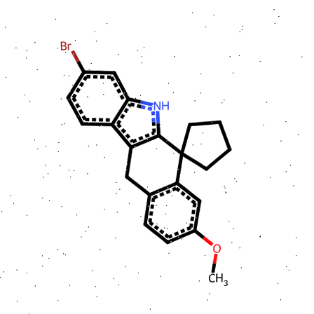 COc1ccc2c(c1)C1(CCCC1)c1[nH]c3cc(Br)ccc3c1C2